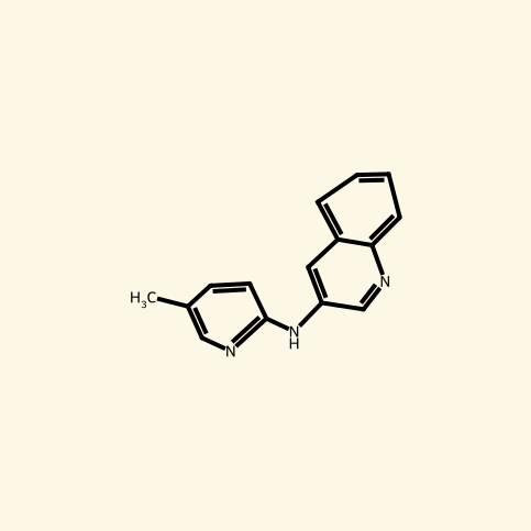 Cc1ccc(Nc2cnc3ccccc3c2)nc1